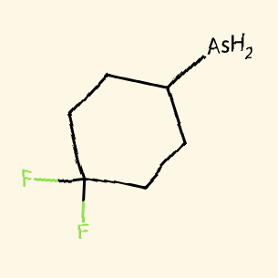 FC1(F)CCC([AsH2])CC1